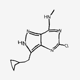 CNc1nc(Cl)nc2c(CC3CC3)[nH]nc12